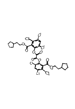 O=C(Oc1c(Cl)cc(Cl)c(Cl)c1C(=O)OCCC1CCCC1)C(=O)Oc1c(Cl)cc(Cl)c(Cl)c1C(=O)OCCC1CCCC1